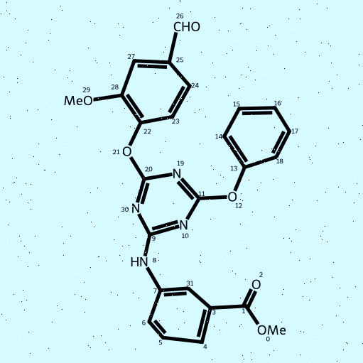 COC(=O)c1cccc(Nc2nc(Oc3ccccc3)nc(Oc3ccc(C=O)cc3OC)n2)c1